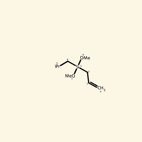 C=CC[Si](CC(C)C)(OC)OC